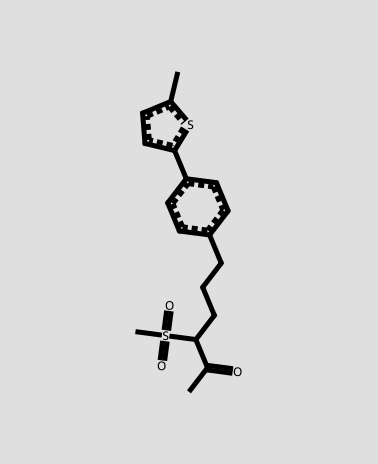 CC(=O)C(CCCc1ccc(-c2ccc(C)s2)cc1)S(C)(=O)=O